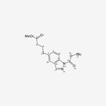 COC(=O)CCSc1ccc2c(cnn2C(=O)OC(C)(C)C)c1